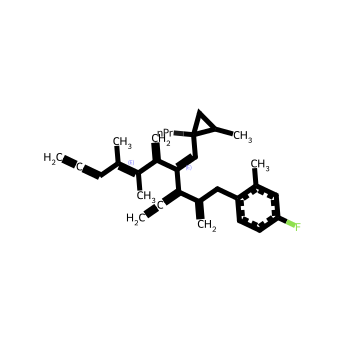 C=C=C/C(C)=C(\C)C(=C)/C(=C\C1(CCC)CC1C)C(=C=C)C(=C)Cc1ccc(F)cc1C